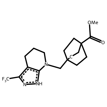 COC(=O)C12CCC(CN3CCCc4c(C(F)(F)F)n[nH]c43)(CC1)CC2